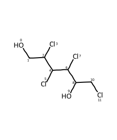 OCC(Cl)C(Cl)C(Cl)C(O)CCl